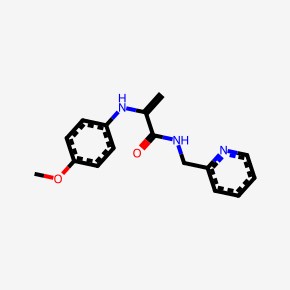 C=C(Nc1ccc(OC)cc1)C(=O)NCc1ccccn1